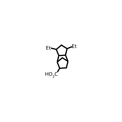 CCC1CC(CC)C2C3CC(CC3C(=O)O)C12